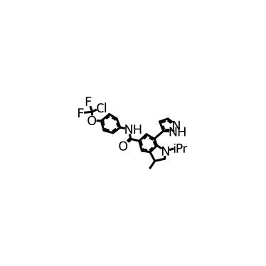 CC1CN(C(C)C)c2c(-c3ccn[nH]3)cc(C(=O)Nc3ccc(OC(F)(F)Cl)cc3)cc21